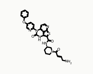 NC/C=C/C(=O)N1CCC[C@@H](NC(=O)c2sc3nccc4c3c2NC(=O)N4c2ccc(Oc3ccccc3)cn2)C1